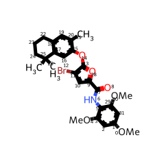 COc1cc(OC)c(NC(=O)c2cc(Br)c(Oc3cc4c(cc3C)CCCC4(C)C)o2)c(OC)c1